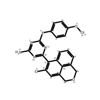 Nc1nc(Sc2ccc(OC(F)(F)F)cc2)nc(-c2c(Cl)cc3c4c(cccc24)COC3)n1